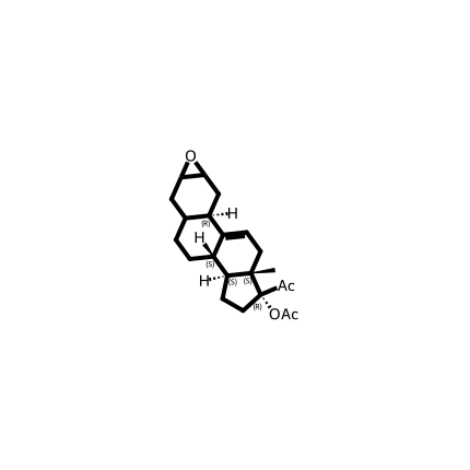 CC(=O)O[C@]1(C(C)=O)CC[C@H]2[C@@H]3CCC4CC5OC5C[C@H]4C3=CC[C@@]21C